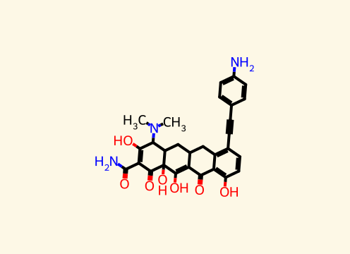 CN(C)C1C(O)=C(C(N)=O)C(=O)C2(O)C(O)=C3C(=O)c4c(O)ccc(C#Cc5ccc(N)cc5)c4CC3CC12